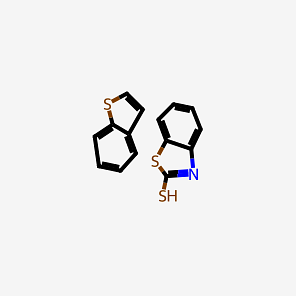 Sc1nc2ccccc2s1.c1ccc2sccc2c1